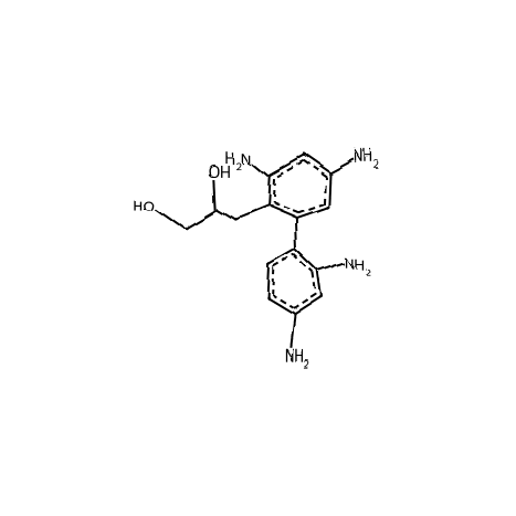 Nc1ccc(-c2cc(N)cc(N)c2CC(O)CO)c(N)c1